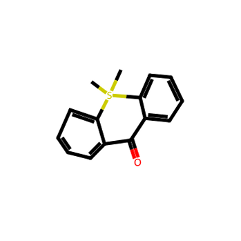 CS1(C)c2ccccc2C(=O)c2ccccc21